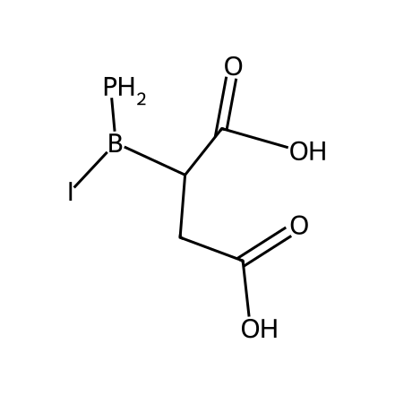 O=C(O)CC(B(P)I)C(=O)O